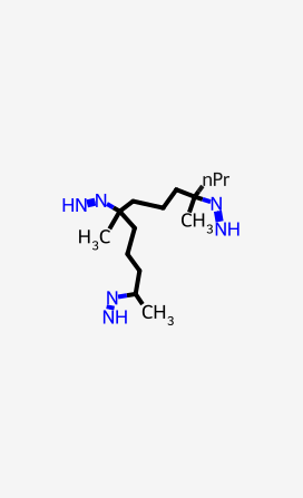 CCCC(C)(CCCC(C)(CCCC(C)N=N)N=N)N=N